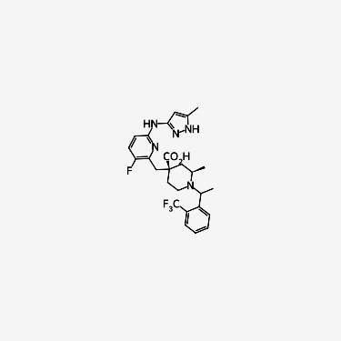 Cc1cc(Nc2ccc(F)c(C[C@@]3(C(=O)O)CCN(C(C)c4ccccc4C(F)(F)F)[C@H](C)C3)n2)n[nH]1